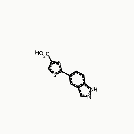 O=C(O)c1csc(-c2ccc3[nH]ncc3c2)n1